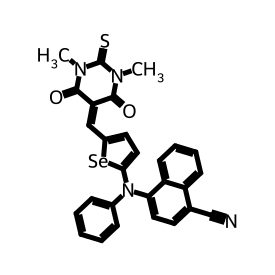 CN1C(=O)C(=Cc2ccc(N(c3ccccc3)c3ccc(C#N)c4ccccc34)[se]2)C(=O)N(C)C1=S